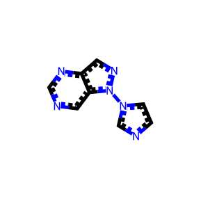 c1cn(-n2ncc3ncncc32)cn1